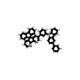 c1ccc(-c2ccc3c(c2)c2ccccc2n3-c2cccc(-c3cnc4c(c3)C3(c5ccccc5-c5ccccc53)c3cccnc3-4)c2)cc1